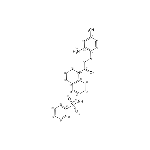 N#Cc1ccc(CCC(=O)N2CCCc3cc(NS(=O)(=O)c4ccccc4)ccc32)c(N)c1